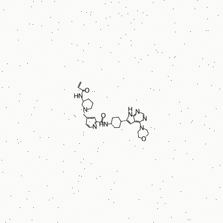 C=CC(=O)NC1CCCN(Cc2ccnc(C(=O)NC3CCC(c4cc5c(N6CCOCC6)ncnc5[nH]4)CC3)c2)C1